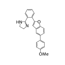 COc1ccc(-c2ccc3oc(-c4ccccc4C4=NCCN4)cc3c2)cc1